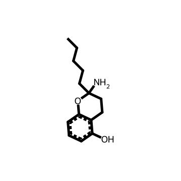 CCCCCC1(N)CCc2c(O)cccc2O1